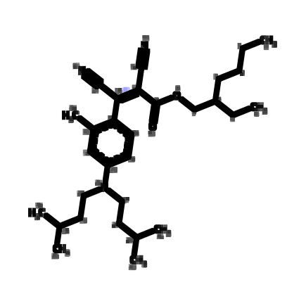 CCCCC(CC)COC(=O)/C(C#N)=C(/C#N)c1ccc(N(CCC(C)C)CCC(C)C)cc1C